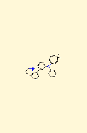 CC1(C)C=CC=C(N(c2ccccc2)c2cccc(-c3cccc4c3NCC=C4)c2)C=C1